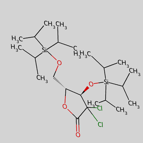 CC(C)[Si](OC[C@H]1OC(=O)C(Cl)(Cl)[C@@H]1O[Si](C(C)C)(C(C)C)C(C)C)(C(C)C)C(C)C